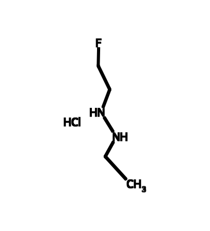 CCNNCCF.Cl